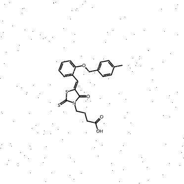 Cc1ccc(COc2ccccc2/C=C2\SC(=S)N(CCCC(=O)O)C2=O)cc1